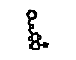 Brc1ccnc2c1OCC(COCc1ccccc1)O2